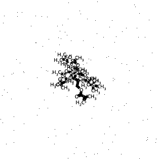 C=C(C)C(=O)OCCC[Si]([Si](C)(C)O[Si](C)(C)O[Si](C)(C)C)([Si](C)(C)O[Si](C)(C)O[Si](C)(C)C)[Si](C)(C)O[Si](C)(C)O[Si](C)(C)C